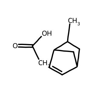 CC(=O)O.CC1CC2C=CC1C2